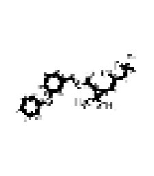 CC1(C)C(C=C(Cl)CC(F)(F)F)C1C(=O)OCc1cccc(Oc2ccccc2)c1